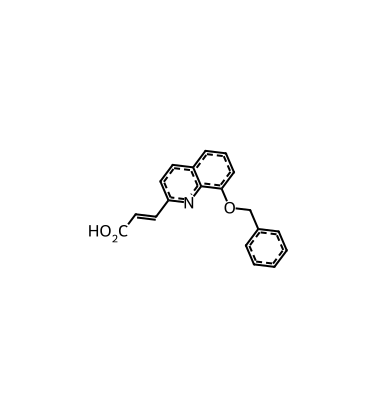 O=C(O)/C=C/c1ccc2cccc(OCc3ccccc3)c2n1